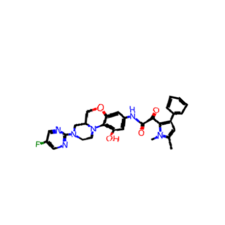 Cc1cc(-c2ccccc2)c(C(=O)C(=O)Nc2cc(O)c3c(c2)OCC2CN(c4ncc(F)cn4)CCN32)n1C